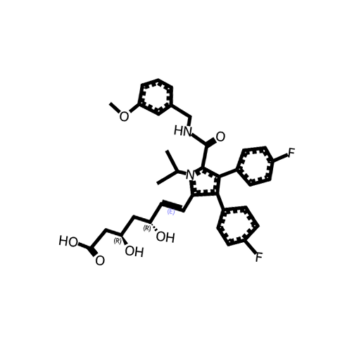 COc1cccc(CNC(=O)c2c(-c3ccc(F)cc3)c(-c3ccc(F)cc3)c(/C=C/[C@H](O)C[C@@H](O)CC(=O)O)n2C(C)C)c1